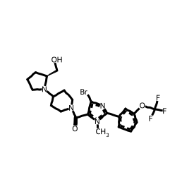 Cn1c(-c2cccc(OC(F)(F)F)c2)nc(Br)c1C(=O)N1CCC(N2CCC[C@H]2CO)CC1